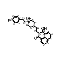 O=C1c2cccc3cccc(c23)C(O)N1CCN1CCC(O)(CCc2ccc(F)cc2)CC1